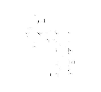 C[C@H](Nc1ccc2c(n1)OCCn1cc(N3C(=O)OC[C@H]3C(F)F)nc1-2)C(N)=O